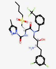 CCCCS(=O)(=O)C[C@@H](NC(=O)n1cc(C)cn1)C(=O)N(Cc1cccc(C(F)(F)F)c1)C[C@@H](O)[C@@H](N)Cc1cc(F)cc(F)c1